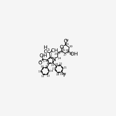 CC(C)c1c(C(=O)O)c(-c2ccccc2)c(-c2ccc(F)cc2)n1CC[C@@H]1C[C@@H](O)CC(=O)O1